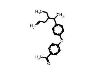 C=CCC(CC)C(C)c1ccc(Oc2ccc(C(N)=O)cc2)cc1